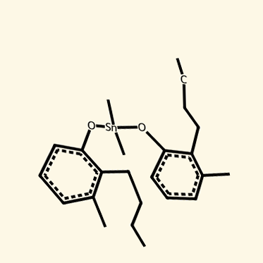 CCCCc1c(C)cccc1[O][Sn]([CH3])([CH3])[O]c1cccc(C)c1CCCC